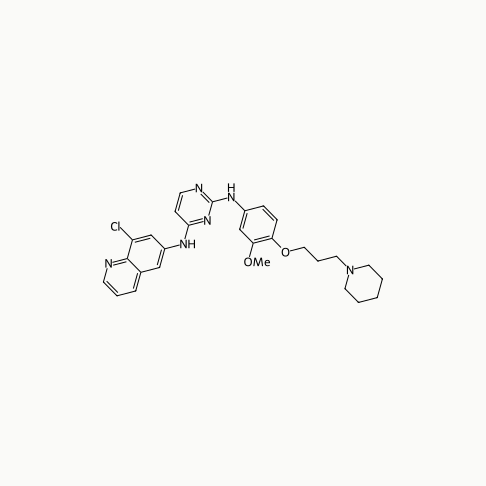 COc1cc(Nc2nccc(Nc3cc(Cl)c4ncccc4c3)n2)ccc1OCCCN1CCCCC1